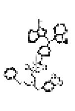 O=C(NS(=O)(=O)CCN(CCSc1ccccc1)Cc1ccc2c(c1)OCO2)c1ccc(C(c2c[nH]c3ccccc23)c2c[nH]c3ccccc23)cc1